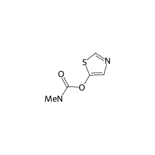 CNC(=O)Oc1cncs1